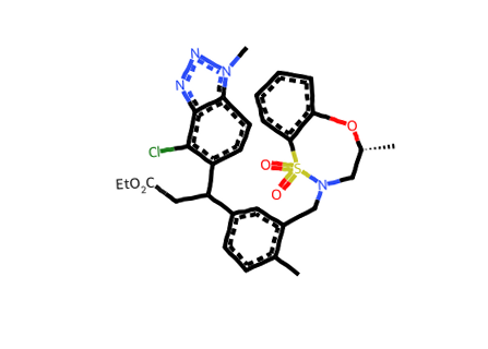 CCOC(=O)CC(c1ccc(C)c(CN2C[C@@H](C)Oc3ccccc3S2(=O)=O)c1)c1ccc2c(nnn2C)c1Cl